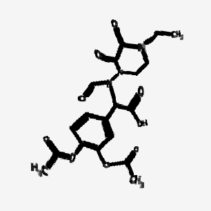 CCN1CCN(N(C=O)C(C(=O)O)c2ccc(OC(C)=O)c(OC(C)=O)c2)C(=O)C1=O